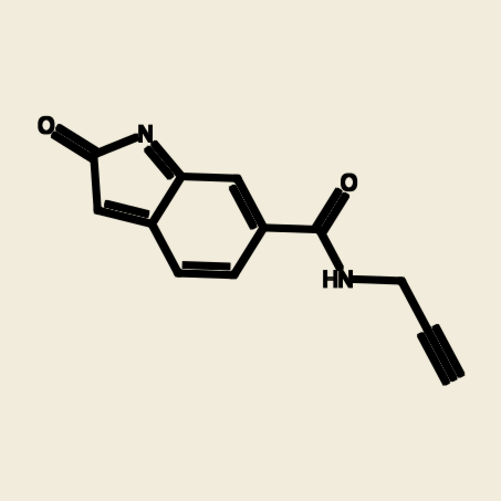 C#CCNC(=O)c1ccc2c(c1)=NC(=O)C=2